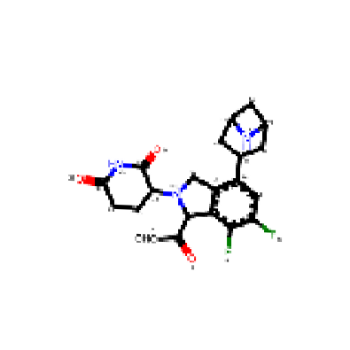 O=CC(=O)C1c2c(F)c(F)cc(C3CC4CC(C3)N4)c2CN1C1CCC(=O)NC1=O